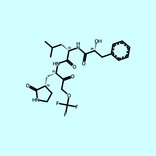 CC(C)C[C@H](NC(=O)[C@H](O)Cc1ccccc1)C(=O)N[C@@H](C[C@@H]1CCNC1=O)C(=O)COC(F)(F)F